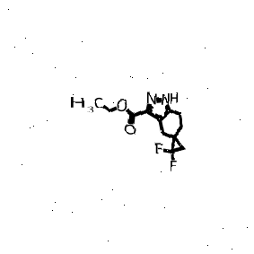 CCOC(=O)c1n[nH]c2c1CC1(CC2)CC1(F)F